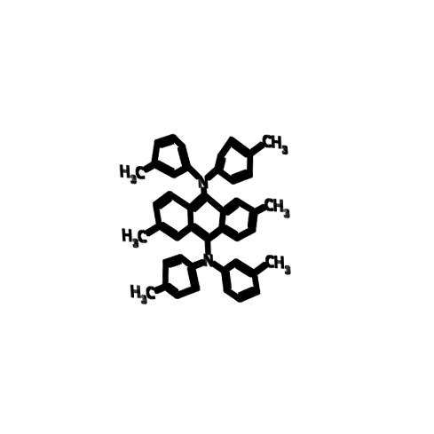 Cc1ccc(N(c2cccc(C)c2)c2c3ccc(C)cc3c(N(c3ccc(C)cc3)c3cccc(C)c3)c3ccc(C)cc23)cc1